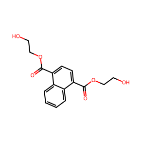 O=C(OCCO)c1ccc(C(=O)OCCO)c2ccccc12